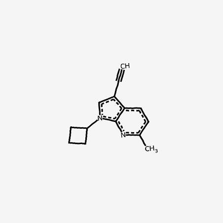 C#Cc1cn(C2CCC2)c2nc(C)ccc12